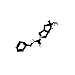 CC1(N)CC2CN(C(=O)OCc3ccccc3)CC2C1